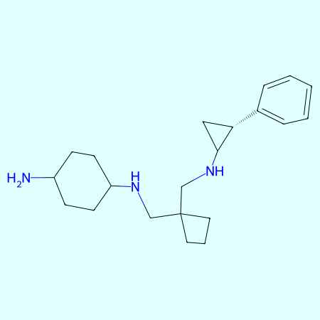 NC1CCC(NCC2(CNC3C[C@@H]3c3ccccc3)CCC2)CC1